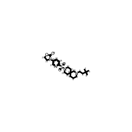 CC(C)(C)CCN1CCCC2(CCN(S(=O)(=O)c3ccc(N4CCOC4=O)cn3)CC2)C1